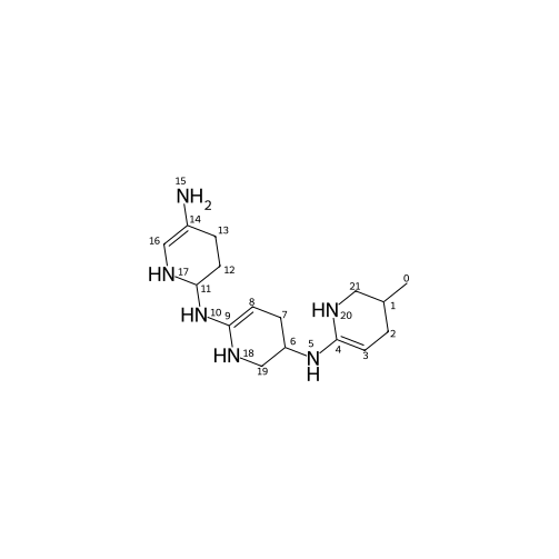 CC1CC=C(NC2CC=C(NC3CCC(N)=CN3)NC2)NC1